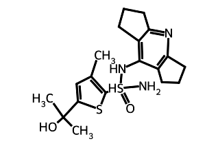 Cc1cc(C(C)(C)O)sc1[SH](N)(=O)Nc1c2c(nc3c1CCC3)CCC2